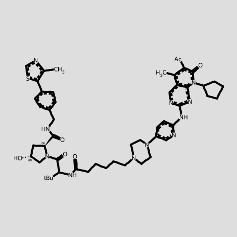 CC(=O)c1c(C)c2cnc(Nc3ccc(N4CCN(CCCCCC(=O)NC(C(=O)N5C[C@H](O)C[C@H]5C(=O)NCc5ccc(-c6scnc6C)cc5)C(C)(C)C)CC4)cn3)nc2n(C2CCCC2)c1=O